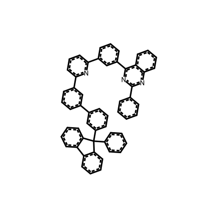 c1ccc(-c2nc(-c3cccc(-c4cccc(-c5cccc(-c6cccc(C7(c8ccccc8)c8ccccc8-c8ccccc87)c6)c5)n4)c3)c3ccccc3n2)cc1